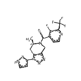 C[C@@H]1Cc2c(nnn2-c2cc[nH]n2)CN1C(=O)c1ccnc(C(F)(F)F)c1F